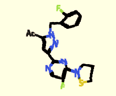 CC(=O)c1cc(-c2ncc(F)c(N3CCCS3)n2)nn1Cc1ccccc1F